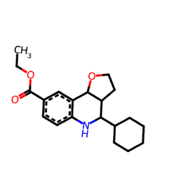 CCOC(=O)c1ccc2c(c1)C1OCCC1C(C1CCCCC1)N2